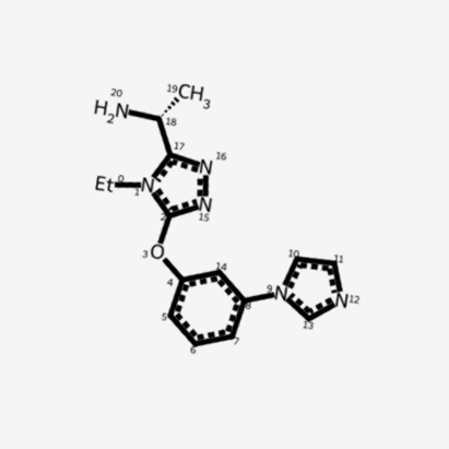 CCn1c(Oc2cccc(-n3ccnc3)c2)nnc1[C@@H](C)N